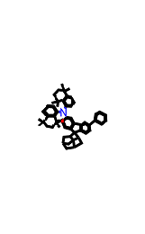 CC1(C)CCC(C)(C)c2c(N(c3ccc4c(c3)-c3cc(-c5ccccc5)ccc3C43C4CC5CC6CC3C64C5)c3cccc4c3C(C)(C)CCC4(C)C)cccc21